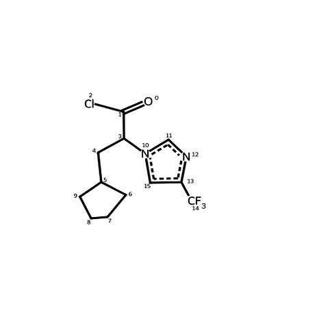 O=C(Cl)C(CC1CCCC1)n1cnc(C(F)(F)F)c1